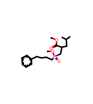 COC(=O)C(CC(C)C)CP(=O)(CCCCc1ccccc1)OC